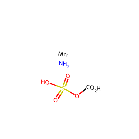 N.O=C(O)OS(=O)(=O)O.[Mn]